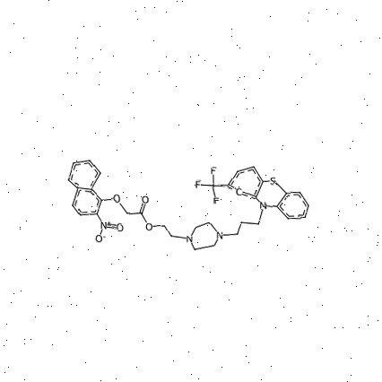 O=C(COc1c([N+](=O)[O-])ccc2ccccc12)OCCN1CCN(CCCN2c3ccccc3Sc3ccc(C(F)(F)F)cc32)CC1